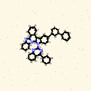 c1ccc(-c2cccc(-c3ccc4c(c3)c3c5ccccc5c5nc6ccccc6n5c3n4-c3nc(-c4ccccc4)c4ccccc4n3)c2)cc1